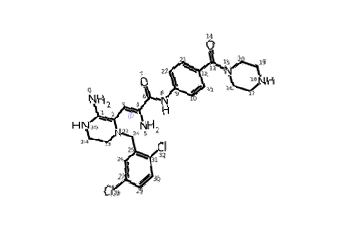 NC1=C(/C=C(\N)C(=O)Nc2ccc(C(=O)N3CCNCC3)cc2)N(Cc2cc(Cl)ccc2Cl)CCN1